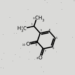 CC(C)C1=CC=CC(=O)C1=O